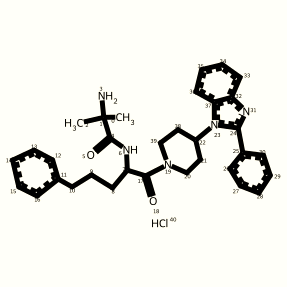 CC(C)(N)C(=O)NC(CCCc1ccccc1)C(=O)N1CCC(n2c(-c3ccccc3)nc3ccccc32)CC1.Cl